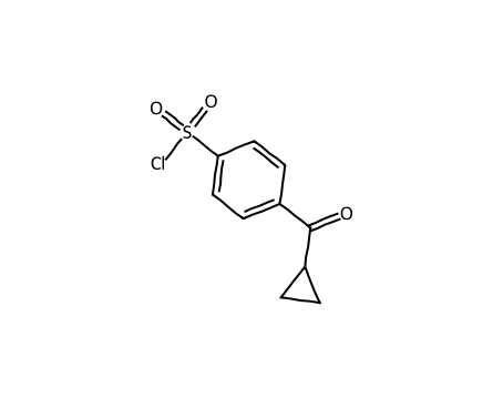 O=C(c1ccc(S(=O)(=O)Cl)cc1)C1CC1